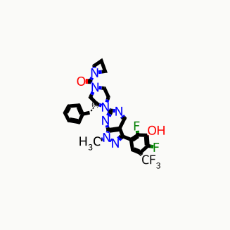 Cn1nc(-c2cc(C(F)(F)F)c(F)c(O)c2F)c2cnc(N3CCN(C(=O)N4CCC4)C[C@H]3Cc3ccccc3)nc21